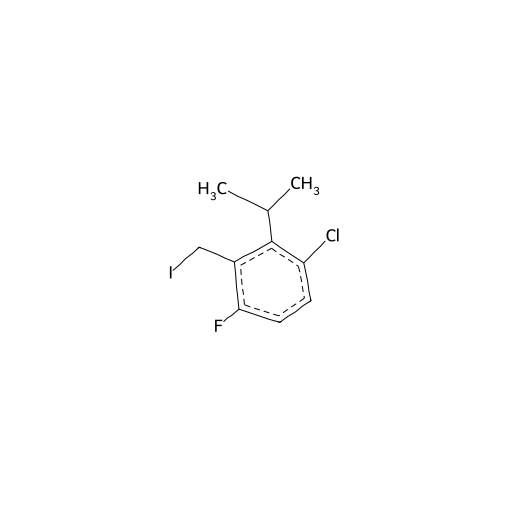 CC(C)c1c(Cl)ccc(F)c1CI